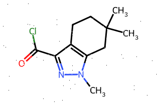 Cn1nc(C(=O)Cl)c2c1CC(C)(C)CC2